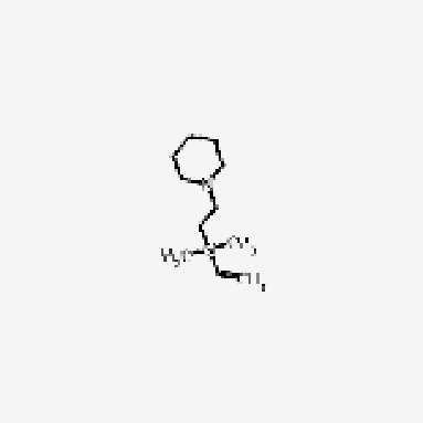 C=C[Si](C)(C)CCN1CCCCC1